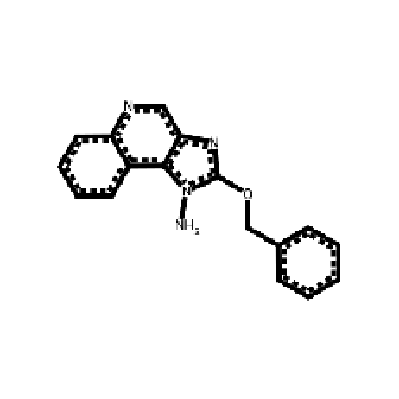 Nn1c(OCc2ccccc2)nc2cnc3ccccc3c21